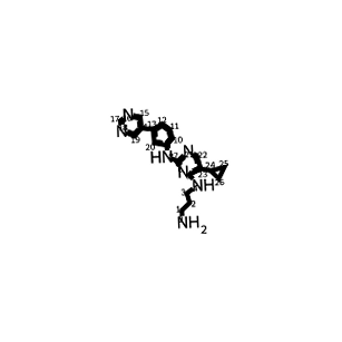 NCCCNc1nc(Nc2cccc(-c3cncnc3)c2)ncc1C1CC1